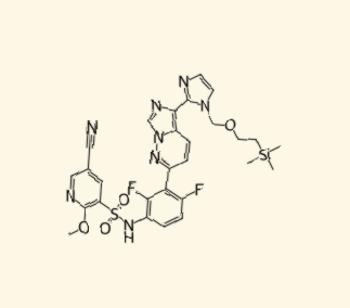 COc1ncc(C#N)cc1S(=O)(=O)Nc1ccc(F)c(-c2ccc3c(-c4nccn4COCC[Si](C)(C)C)ncn3n2)c1F